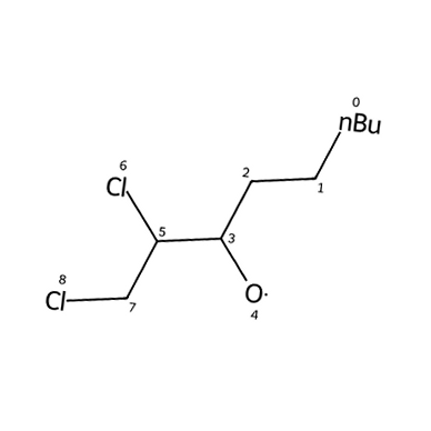 CCCCCCC([O])C(Cl)CCl